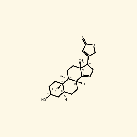 C[C@]12CC[C@H](O)C[C@@H]1CC[C@H]1C3=CC[C@H](C4=CC(=O)OC4)[C@@]3(C)CC[C@@H]12